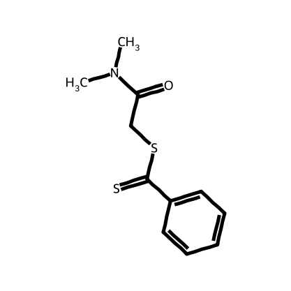 CN(C)C(=O)CSC(=S)c1ccccc1